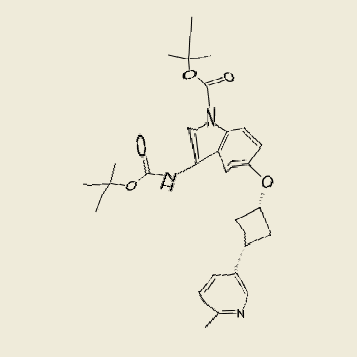 Cc1ccc([C@H]2C[C@@H](Oc3ccc4c(c3)c(NC(=O)OC(C)(C)C)cn4C(=O)OC(C)(C)C)C2)cn1